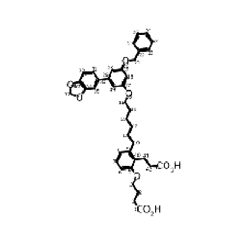 O=C(O)CCCOc1cccc(CCCCCCOc2cc(OCc3ccccc3)cc(-c3ccc4c(c3)OCO4)c2)c1CCC(=O)O